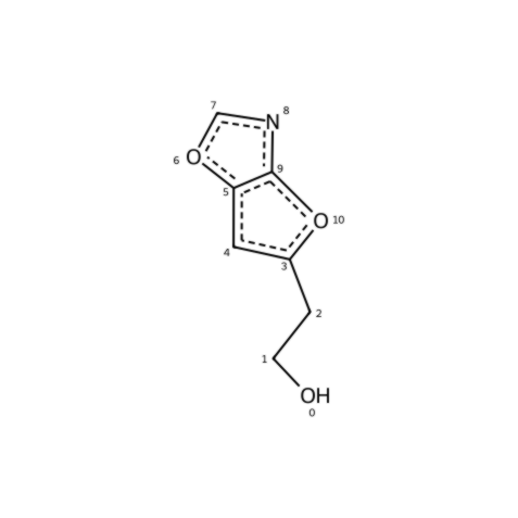 OCCc1cc2ocnc2o1